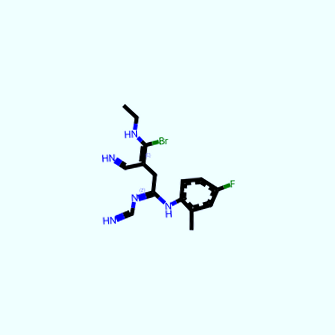 CCN/C(Br)=C(\C=N)C/C(=N/C=N)Nc1ccc(F)cc1C